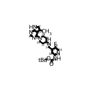 Cc1c[nH]c2ncnc(N3CCC(NCc4cc(NC(=O)OC(C)(C)C)ncc4F)CC3)c12